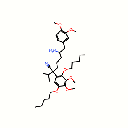 CCCCCOc1cc(C(C#N)(CCCC(N)Cc2ccc(OC)c(OC)c2)C(C)C)c(OCCCCC)c(OC)c1OC